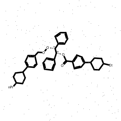 CCCC1CCC(c2ccc(COO[C@H](c3ccccc3)[C@H](OC(=O)c3ccc(C4CCC(CC)CC4)cc3)c3ccccc3)cc2)CC1